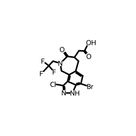 O=C(O)CC1Cc2cc(Br)c3[nH]nc(Cl)c3c2CN(CC(F)(F)F)C1=O